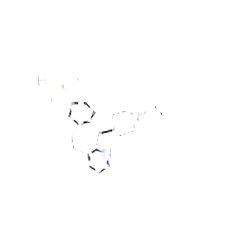 CS(=O)(=O)c1ccc2c(c1)CCc1cccnc1C2=C1CCN(C#N)CC1